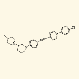 CC1CCN(C2CCCN(c3ccc(C#Cc4ccc(-c5ccc(Cl)cc5)cn4)cc3)C2)CC1